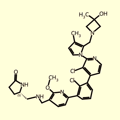 COc1nc(-c2cccc(-c3ccnc(-n4ccc(C)c4CN4CC(C)(O)C4)c3Cl)c2Cl)ccc1CNC[C@@H]1CCC(=O)N1